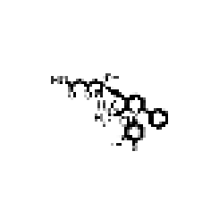 Cc1cc(N2C(c3ccccc3)=CC=C(C#CP(=O)(O)C[C@@H](O)CC(=O)O)C2C(C)(C)C)ccc1F